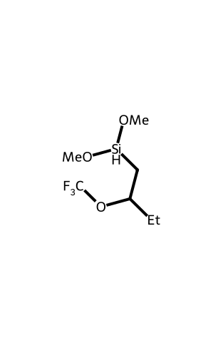 CCC(C[SiH](OC)OC)OC(F)(F)F